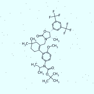 COc1ccc(N(C(=O)OC(C)(C)C)C(C)C)cc1C1=C(CN2C(=O)O[C@H](c3cc(C(F)(F)F)cc(C(F)(F)F)c3)[C@@H]2C)CC(C)(C)CC1